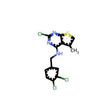 Cc1csc2nc(Cl)nc(NCc3ccc(Cl)c(Cl)c3)c12